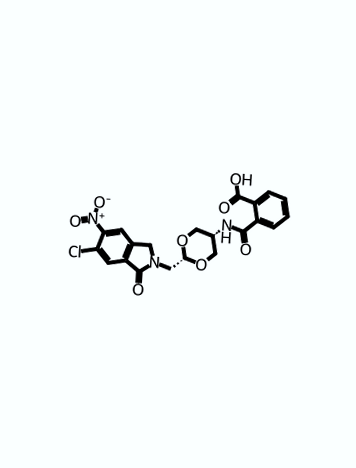 O=C(O)c1ccccc1C(=O)N[C@H]1CO[C@@H](CN2Cc3cc([N+](=O)[O-])c(Cl)cc3C2=O)OC1